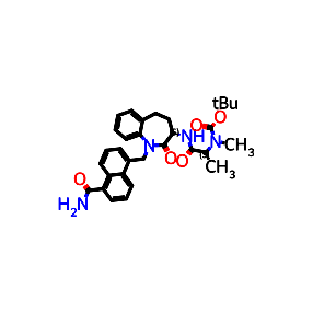 C[C@@H](C(=O)N[C@H]1CCc2ccccc2N(Cc2cccc3c(C(N)=O)cccc23)C1=O)N(C)C(=O)OC(C)(C)C